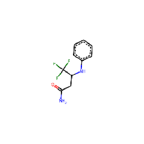 NC(=O)CC(Nc1ccccc1)C(F)(F)F